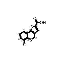 O=C(O)c1cc2c(s1)-c1cccc(Cl)c1SC2